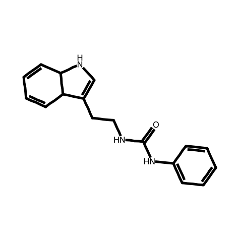 O=C(NCCC1=CNC2C=CC=CC12)Nc1ccccc1